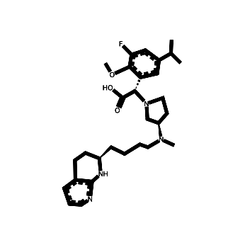 COc1c(F)cc(C(C)C)cc1[C@@H](C(=O)O)N1CC[C@@H](N(C)CCCC[C@@H]2CCc3cccnc3N2)C1